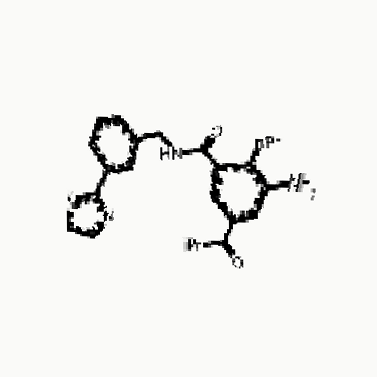 CCCc1c(N)cc(C(=O)C(C)C)cc1C(=O)NCc1cccc(-c2nccs2)c1